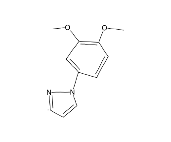 COc1ccc(-n2cc[c]n2)cc1OC